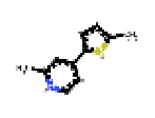 Cc1cc(-c2ccc(C)s2)ccn1